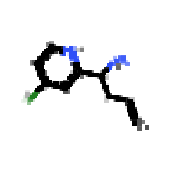 C=CCC(N)c1cc(Cl)ccn1